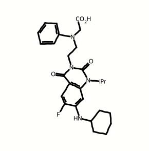 CC(C)n1c(=O)n(CCN(CC(=O)O)c2ccccc2)c(=O)c2cc(F)c(NC3CCCCC3)cc21